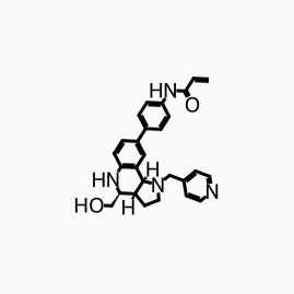 C=CC(=O)Nc1ccc(-c2ccc3c(c2)[C@H]2[C@H](CCN2Cc2ccncc2)[C@@H](CO)N3)cc1